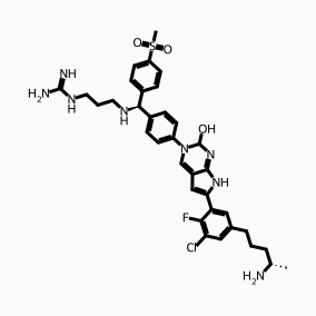 C[C@H](N)CCCc1cc(Cl)c(F)c(-c2cc3c([nH]2)=NC(O)N(c2ccc([C@@H](NCCCNC(=N)N)c4ccc(S(C)(=O)=O)cc4)cc2)C=3)c1